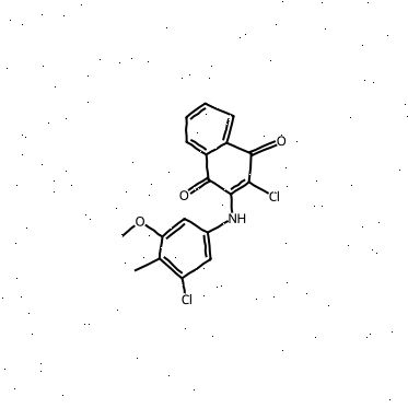 COc1cc(NC2=C(Cl)C(=O)c3ccccc3C2=O)cc(Cl)c1C